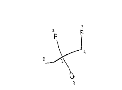 CC([O])(F)CF